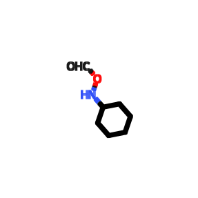 O=CONC1CCCCC1